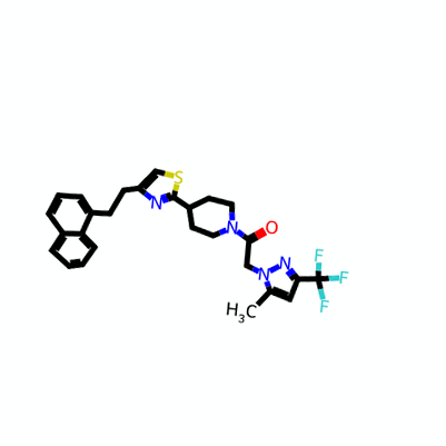 Cc1cc(C(F)(F)F)nn1CC(=O)N1CCC(c2nc(CCc3cccc4ccccc34)cs2)CC1